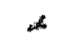 Cc1ccccc1N1CCN(c2ccc(C(=O)NCCCn3nccc3C3CC3)cc2NC(=O)c2ccco2)CC1